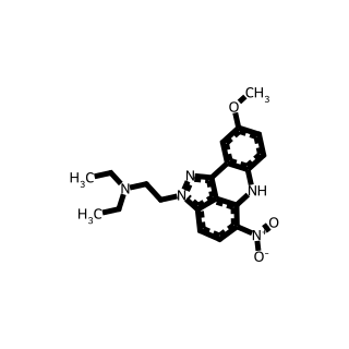 CCN(CC)CCn1nc2c3c(c([N+](=O)[O-])ccc31)Nc1ccc(OC)cc1-2